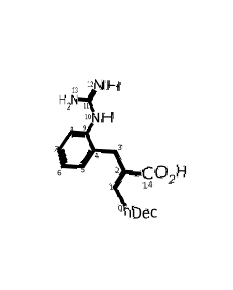 CCCCCCCCCCCC(Cc1ccccc1NC(=N)N)C(=O)O